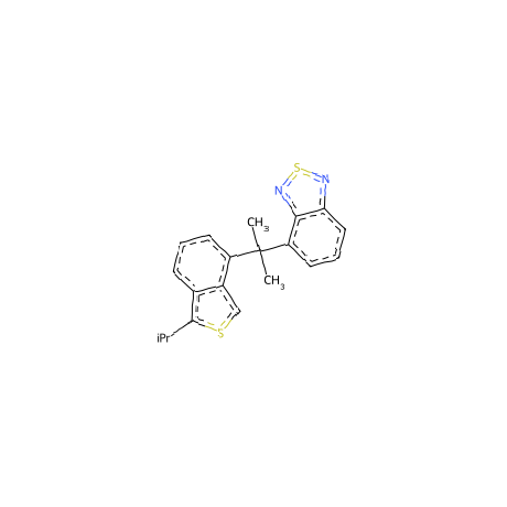 CC(C)c1scc2c(C(C)(C)c3cccc4nsnc34)cccc12